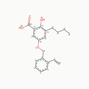 C=Cc1ccccc1COc1cc(CCCC)c(O)c(C(=O)O)c1